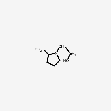 C[SiH2]O.O=C(O)C1CCCN1O